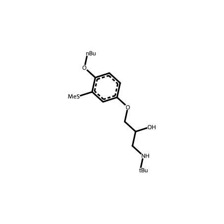 CCCCOc1ccc(OCC(O)CNC(C)(C)C)cc1SC